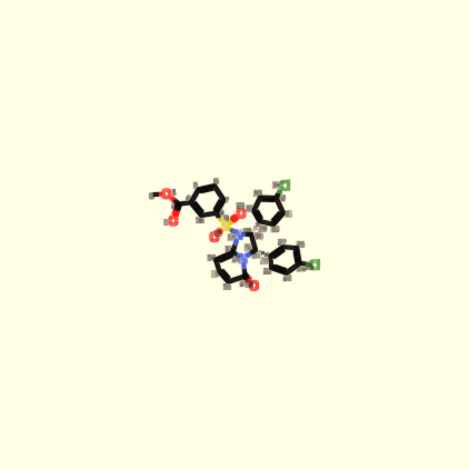 COC(=O)c1cccc(S(=O)(=O)N2c3cccc(=O)n3[C@@H](c3ccc(Cl)cc3)[C@H]2c2ccc(Cl)cc2)c1